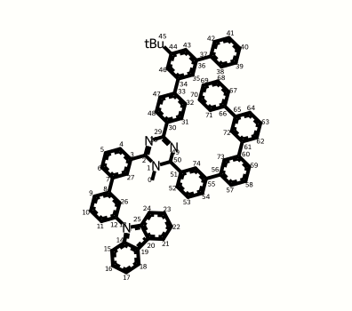 CN1C(c2cccc(-c3cccc(-n4c5ccccc5c5ccccc54)c3)c2)=NC(c2ccc(-c3cc(-c4ccccc4)cc(C(C)(C)C)c3)cc2)=NC1c1cccc(-c2cccc(-c3cccc(-c4ccccc4)c3)c2)c1